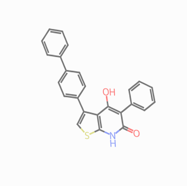 O=c1[nH]c2scc(-c3ccc(-c4ccccc4)cc3)c2c(O)c1-c1ccccc1